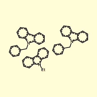 CCn1c2ccccc2c2ccccc21.c1ccc(Cn2c3ccccc3c3ccccc32)cc1.c1ccc(Cn2c3ccccc3c3ccccc32)cc1